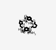 CC1CCCC(C)N1NC(=O)c1ccc(Cl)c(S(N)(=O)=O)c1.NS(=O)(=O)c1cc2c(cc1Cl)NC(CC1CCCC1)NS2(=O)=O